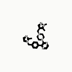 Cc1nccn1Cc1ccc(-c2nccnc2N2CCN(Cc3cnn(C)c3C)CC2)cc1